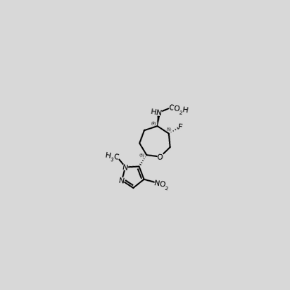 Cn1ncc([N+](=O)[O-])c1[C@@H]1CC[C@@H](NC(=O)O)[C@H](F)CO1